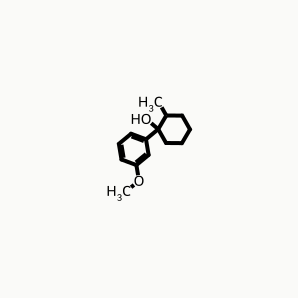 COc1cccc(C2(O)CCCCC2C)c1